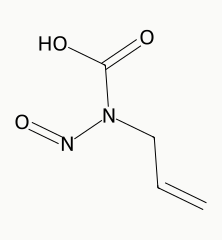 C=CCN(N=O)C(=O)O